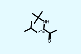 CC(=O)[C@H](CC(C)C)NC(C)(C)C